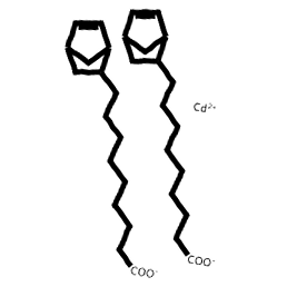 O=C([O-])CCCCCCCCC1CC2C=CC1C2.O=C([O-])CCCCCCCCC1CC2C=CC1C2.[Cd+2]